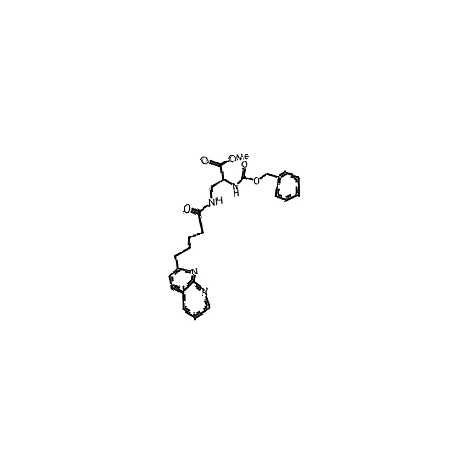 COC(=O)[C@H](CNC(=O)CCCCc1ccc2cccnc2n1)NC(=O)OCc1ccccc1